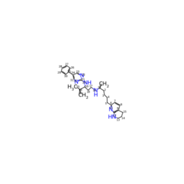 C=C(CCCCc1ccc2c(n1)NCCC2)NCCC(Nc1ncc(-c2ccccc2)cn1)C(=C)C